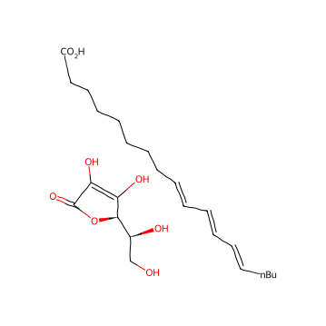 CCCCC=CC=CC=CCCCCCCCC(=O)O.O=C1O[C@H]([C@@H](O)CO)C(O)=C1O